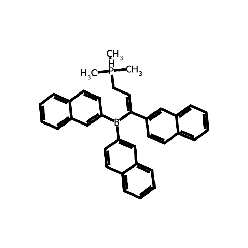 C[PH](C)(C)C/C=C(\B(c1ccc2ccccc2c1)c1ccc2ccccc2c1)c1ccc2ccccc2c1